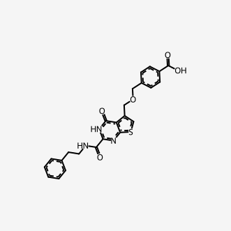 O=C(O)c1ccc(COCc2csc3nc(C(=O)NCCc4ccccc4)[nH]c(=O)c23)cc1